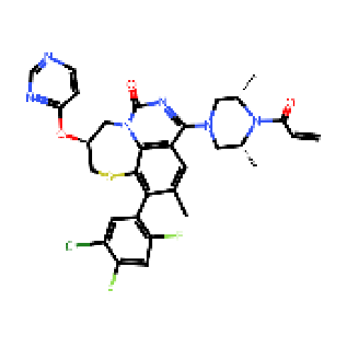 C=CC(=O)N1[C@H](C)CN(c2nc(=O)n3c4c(c(-c5cc(Cl)c(F)cc5F)c(C)cc24)SC[C@@H](Oc2ccncn2)C3)C[C@@H]1C